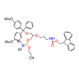 COc1ccc(C(OCC(COP(OCCC#N)N(C(C)C)C(C)C)OCCCNC(=O)OCC2c3ccccc3-c3ccccc32)(c2ccccc2)c2ccc(OC)cc2)cc1